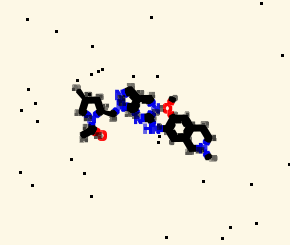 COc1cc2c(cc1Nc1ncc3cnn(C[C@@H]4C[C@H](C)CN4C(C)=O)c3n1)CN(C)CC2